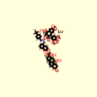 CN(Cc1ccc(C(C)(C)C)cc1)Cc1cccc2ccccc12.COc1cc([C@@H]2c3cc4c(cc3[C@H](O)[C@H]3COC(=O)[C@H]23)OCO4)cc(OC)c1OC.C[C@H]1C[C@H]2[C@@H]3CCC4=CC(=O)C=C[C@]4(C)[C@@]3(F)[C@@H](O)C[C@]2(C)[C@@]1(O)C(=O)CO.[Lu]